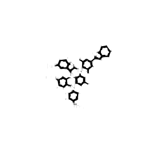 Cc1cc2c3c(c1)N(c1c(C)cc(-c4cc5ccccc5o4)cc1C)c1sc4ccc(C(C)(C)C)cc4c1B3c1cc(C(C)(C)C)ccc1N2c1ccc(C(C)(C)C)cc1